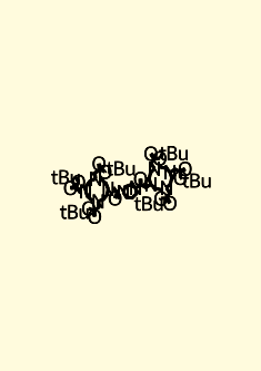 CC(C)(C)OC(=O)CN1CCN(CC(=O)OC(C)(C)C)CCN(CC(=O)N2CCCN(C(=O)CN3CCN(CC(=O)OC(C)(C)C)CCN(CC(=O)OC(C)(C)C)CCN(CC(=O)OC(C)(C)C)CC3)CC2)CCN(CC(=O)OC(C)(C)C)CC1